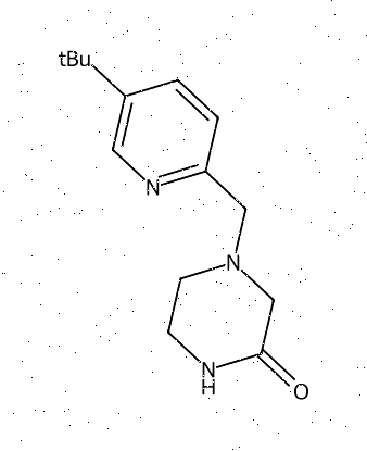 CC(C)(C)c1ccc(CN2CCNC(=O)C2)nc1